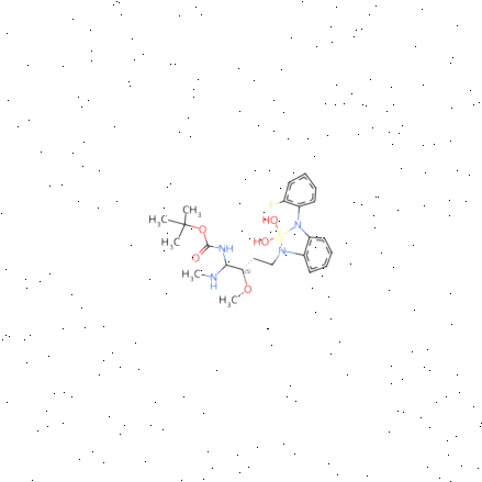 CNC(NC(=O)OC(C)(C)C)[C@H](CCN1c2ccccc2N(c2ccccc2F)S1(O)O)OC